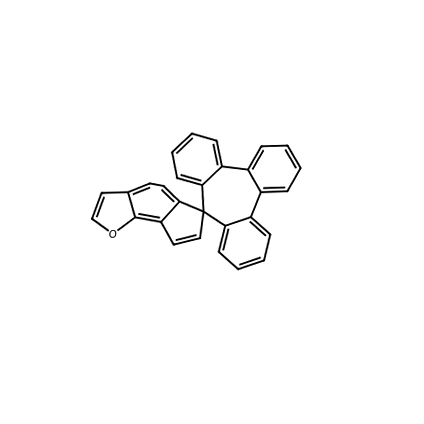 C1=CC2(c3ccccc3-c3ccccc3-c3ccccc32)c2ccc3ccoc3c21